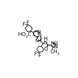 Cc1nonc1C(=O)NC(c1cn2ncc(C3(C(=O)O)CCC(F)(F)CC3)cc2n1)C1CCC(F)(F)CC1